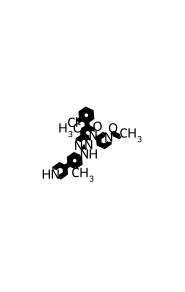 CCC(=O)N1CCC[C@H](n2c(=O)c(-c3ccccc3Cl)c(C)c3cnc(Nc4ccc(C5CCNCC5)c(C)c4)nc32)C1